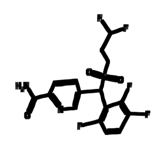 NC(=O)c1ccc(C(c2c(F)ccc(F)c2F)S(=O)(=O)CCC(F)F)cn1